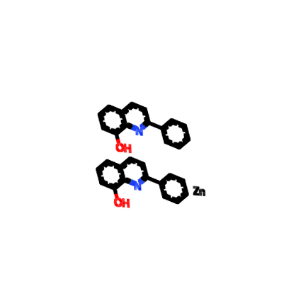 Oc1cccc2ccc(-c3ccccc3)nc12.Oc1cccc2ccc(-c3ccccc3)nc12.[Zn]